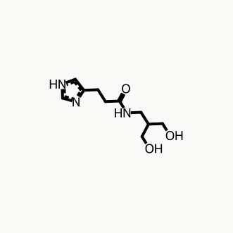 O=C(CCc1c[nH]cn1)NCC(CO)CO